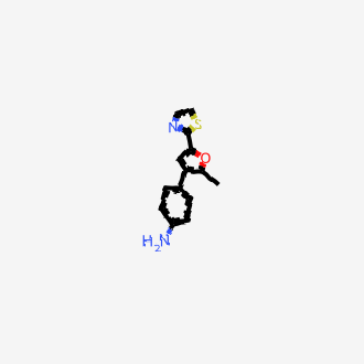 Cc1oc(-c2nccs2)cc1-c1ccc(N)cc1